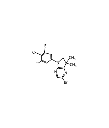 CC1(C)CN(c2cc(F)c(Cl)c(F)c2)c2ncc(Br)nc21